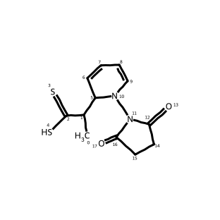 CC(C(=S)S)C1C=CC=CN1N1C(=O)CCC1=O